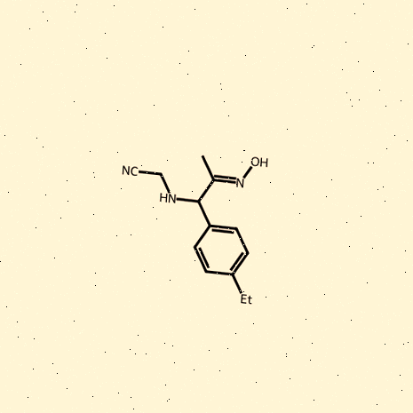 CCc1ccc(C(NCC#N)C(C)=NO)cc1